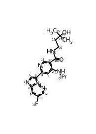 CC(C)Nc1cc(-c2cnc3cc(F)cnn23)ncc1C(=O)NCCC(C)(C)O